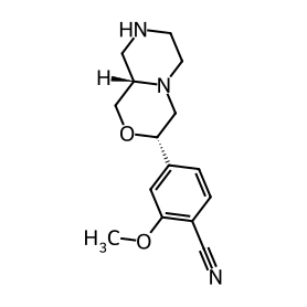 COc1cc([C@H]2CN3CCNC[C@H]3CO2)ccc1C#N